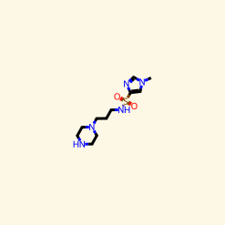 Cn1cnc(S(=O)(=O)NCCCN2CCNCC2)c1